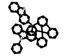 c1ccc(-n2c3ccccc3c3c(N(c4ccc5c(c4)sc4ccccc45)c4cccc5c4C4(c6ccccc6-c6ccccc64)c4ccccc4-5)cccc32)cc1